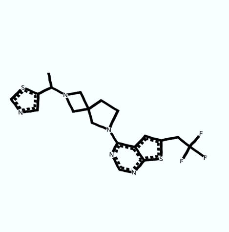 CC(c1cncs1)N1CC2(CCN(c3ncnc4sc(CC(F)(F)F)cc34)C2)C1